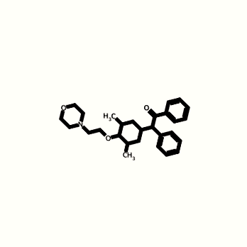 CC1CC(C(C(=O)c2ccccc2)c2ccccc2)CC(C)C1OCCN1CCOCC1